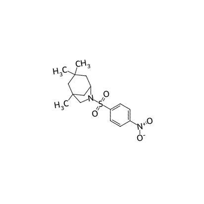 CC1(C)CC2CC(C)(CN2S(=O)(=O)c2ccc([N+](=O)[O-])cc2)C1